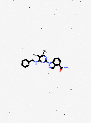 Cc1nc(-n2ncc3c(C(N)=O)cccc32)nc(NCc2ccccc2)c1C